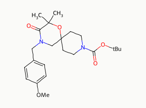 COc1ccc(CN2CC3(CCN(C(=O)OC(C)(C)C)CC3)OC(C)(C)C2=O)cc1